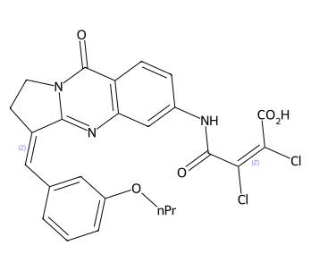 CCCOc1cccc(/C=C2/CCn3c2nc2cc(NC(=O)/C(Cl)=C(/Cl)C(=O)O)ccc2c3=O)c1